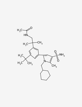 CC(=O)NCC(C)(C)c1cc(-c2cc(S(N)(=O)=O)c(C)n2CC2CCCCC2)cc(C(C)(C)C)c1